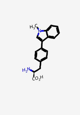 Cn1cc(-c2ccc(C[C@H](N)C(=O)O)cc2)c2ccccc21